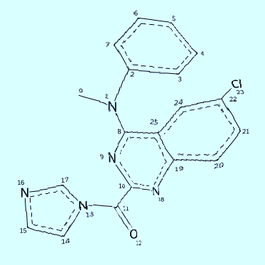 CN(c1ccccc1)c1nc(C(=O)n2ccnc2)nc2ccc(Cl)cc12